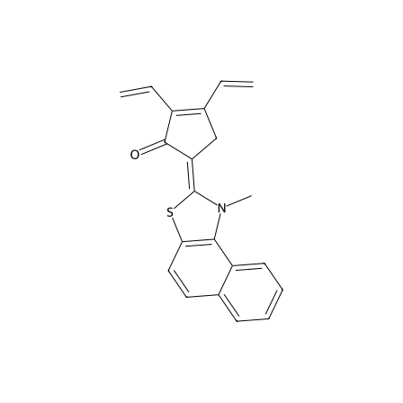 C=CC1=C(C=C)C(=O)/C(=C2\Sc3ccc4ccccc4c3N2C)C1